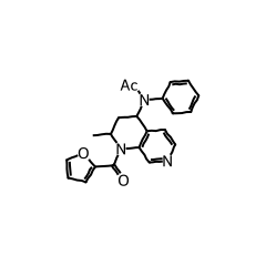 CC(=O)N(c1ccccc1)C1CC(C)N(C(=O)c2ccco2)c2cnccc21